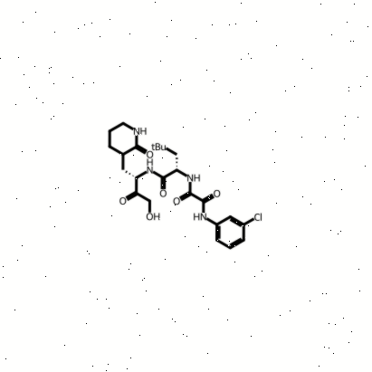 CC(C)(C)C[C@H](NC(=O)C(=O)Nc1cccc(Cl)c1)C(=O)N[C@@H](CC1CCCNC1=O)C(=O)CO